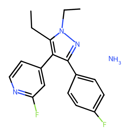 CCc1c(-c2ccnc(F)c2)c(-c2ccc(F)cc2)nn1CC.N